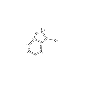 [O]c1[nH]cc2ccccc12